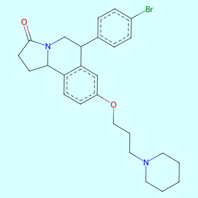 O=C1CCC2c3ccc(OCCCN4CCCCC4)cc3C(c3ccc(Br)cc3)CN12